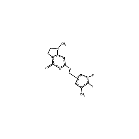 Cc1cc(COc2cc3n(c(=O)n2)CCN3C)cc(F)c1F